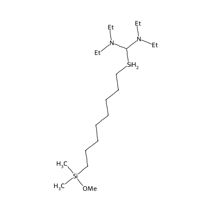 CCN(CC)C([SiH2]CCCCCCCC[Si](C)(C)OC)N(CC)CC